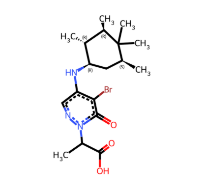 CC(C(=O)O)n1ncc(N[C@@H]2C[C@H](C)C(C)(C)[C@H](C)[C@H]2C)c(Br)c1=O